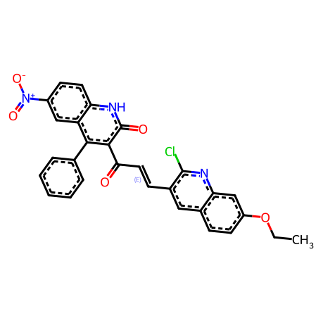 CCOc1ccc2cc(/C=C/C(=O)c3c(-c4ccccc4)c4cc([N+](=O)[O-])ccc4[nH]c3=O)c(Cl)nc2c1